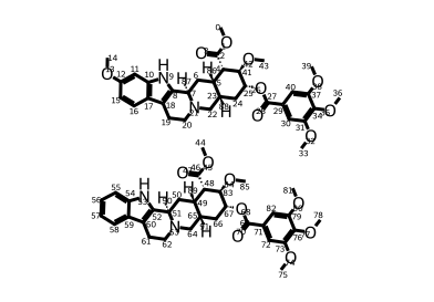 COC(=O)[C@H]1[C@H]2C[C@@H]3c4[nH]c5cc(OC)ccc5c4CCN3C[C@H]2C[C@@H](OC(=O)c2cc(OC)c(OC)c(OC)c2)[C@@H]1OC.COC(=O)[C@H]1[C@H]2C[C@@H]3c4[nH]c5ccccc5c4CCN3C[C@H]2C[C@@H](OC(=O)c2cc(OC)c(OC)c(OC)c2)[C@@H]1OC